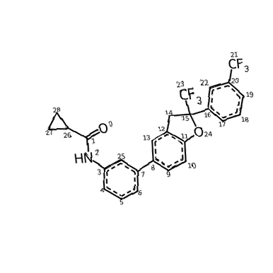 O=C(Nc1cccc(-c2ccc3c(c2)CC(c2cccc(C(F)(F)F)c2)(C(F)(F)F)O3)c1)C1CC1